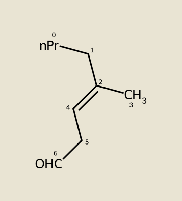 CCCCC(C)=CCC=O